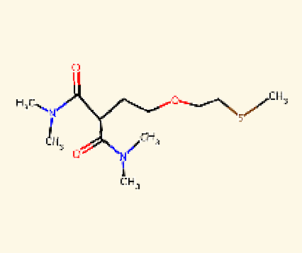 CSCCOCCC(C(=O)N(C)C)C(=O)N(C)C